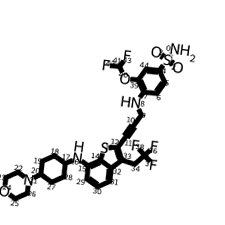 NS(=O)(=O)c1ccc(NCC#Cc2sc3c(NC4CCC(N5CCOCC5)CC4)cccc3c2CC(F)(F)F)c(OC(F)F)c1